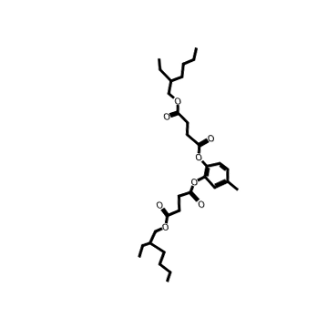 CCCCC(CC)COC(=O)CCC(=O)Oc1ccc(C)cc1OC(=O)CCC(=O)OCC(CC)CCCC